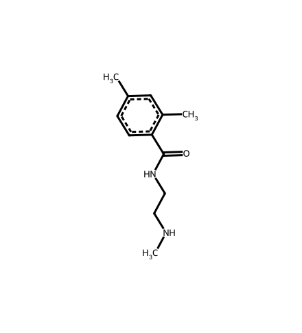 CNCCNC(=O)c1ccc(C)cc1C